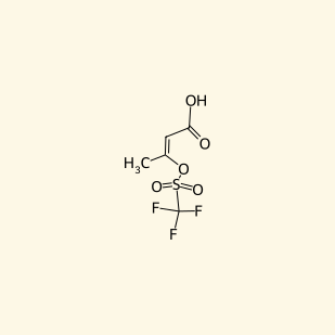 C/C(=C/C(=O)O)OS(=O)(=O)C(F)(F)F